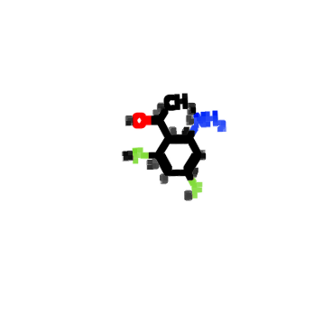 CC(=O)c1c(N)cc(F)cc1F